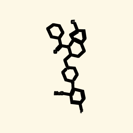 COc1cc(F)ccc1N1CCN(CC2CCc3ccc(Cl)cc3N2C(=O)C2CCCCC2)CC1